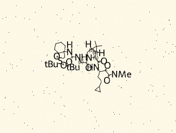 CNC(=O)C(=O)C(CCC1CC1)NC(=O)[C@@H]1[C@@H]2[C@H](CN1C(=O)[C@@H](NC(=O)NC1(CS(=O)(=O)C(C)(C)C)CCCCC1)C(C)(C)C)C2(C)C